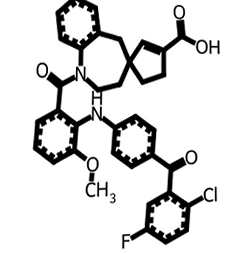 COc1cccc(C(=O)N2CCC3(C=C(C(=O)O)CC3)Cc3ccccc32)c1Nc1ccc(C(=O)c2cc(F)ccc2Cl)cc1